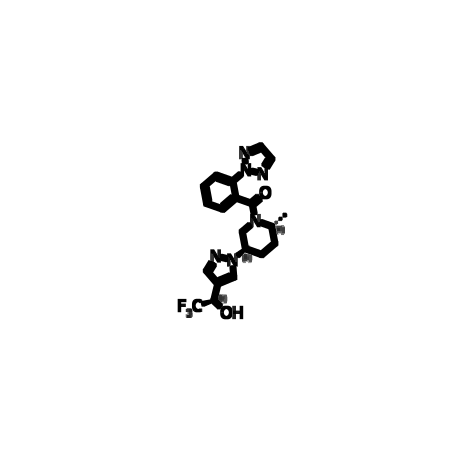 C[C@@H]1CC[C@@H](n2cc([C@@H](O)C(F)(F)F)cn2)CN1C(=O)c1ccccc1-n1nccn1